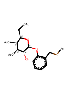 CC(=O)OC[C@H]1O[C@@H](Oc2ccccc2CSC(C)=O)[C@H](O)[C@@H](OC(C)=O)[C@H]1OC(C)=O